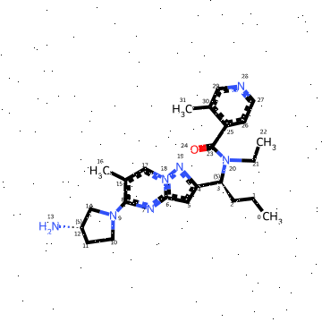 CCC[C@@H](c1cc2nc(N3CC[C@H](N)C3)c(C)cn2n1)N(CC)C(=O)c1ccncc1C